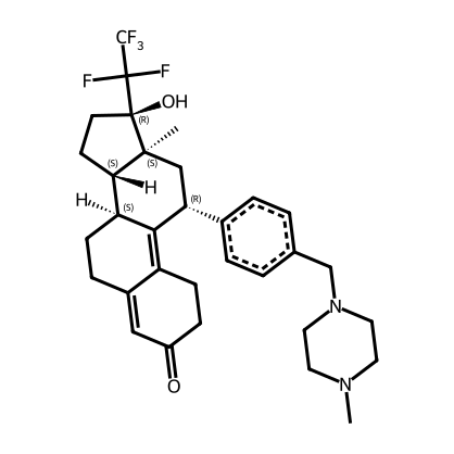 CN1CCN(Cc2ccc([C@H]3C[C@@]4(C)[C@@H](CC[C@]4(O)C(F)(F)C(F)(F)F)[C@@H]4CCC5=CC(=O)CCC5=C43)cc2)CC1